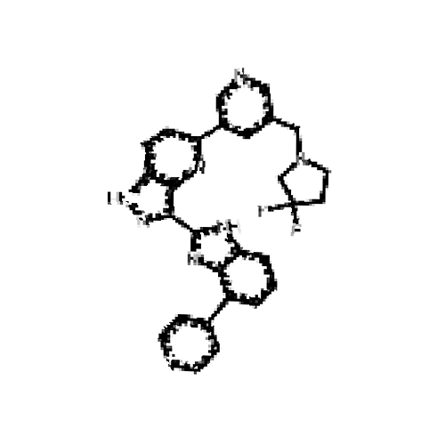 FC1(F)CCN(Cc2cncc(-c3ccc4[nH]nc(-c5nc6c(-c7ccncc7)cccc6[nH]5)c4n3)c2)C1